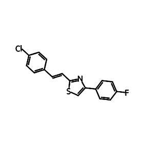 Fc1ccc(-c2csc(/C=C/c3ccc(Cl)cc3)n2)cc1